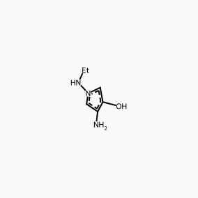 CCNn1cc(N)c(O)c1